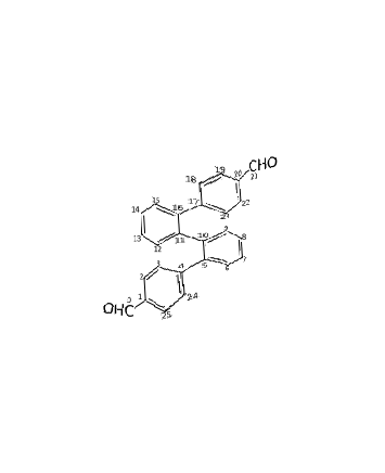 O=Cc1ccc(-c2ccccc2-c2ccccc2-c2ccc(C=O)cc2)cc1